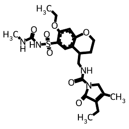 CCOc1cc2c(cc1S(=O)(=O)NC(=O)NC)C(CNC(=O)N1CC(C)=C(CC)C1=O)CCO2